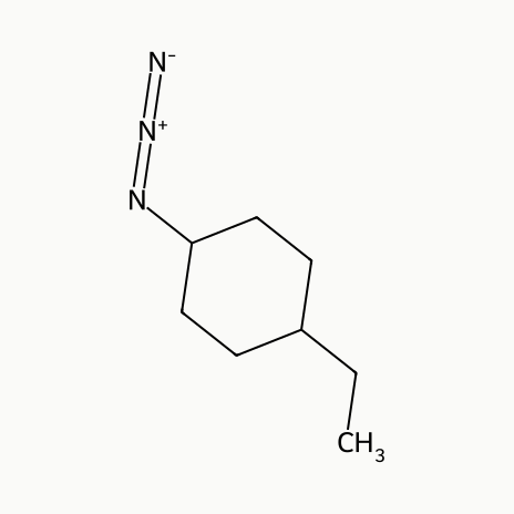 CCC1CCC(N=[N+]=[N-])CC1